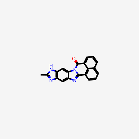 Cc1nc2cc3nc4c5cccc6cccc(c(=O)n4c3cc2[nH]1)c65